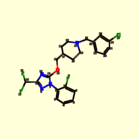 Fc1ccccc1-n1nc(C(F)F)nc1OCC1CCN(Cc2cccc(Cl)c2)CC1